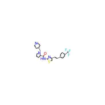 O=C(Nc1nc(C=Cc2ccc(C(F)(F)F)cc2)cs1)c1cccn1Cc1ccncc1